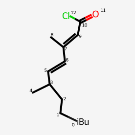 CCC(C)CCC(C)/C=C/C(C)=C/C(=O)Cl